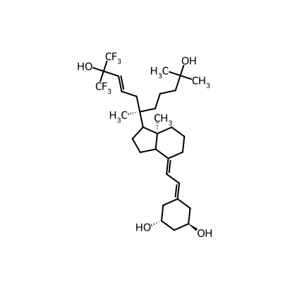 CC(C)(O)CCC[C@](C)(C/C=C/C(O)(C(F)(F)F)C(F)(F)F)C1CCC2/C(=C/C=C3C[C@@H](O)C[C@H](O)C3)CCC[C@@]21C